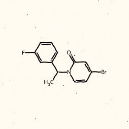 CC(c1cccc(F)c1)n1ccc(Br)cc1=O